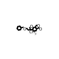 CC1(CCOCc2ccccc2)COc2c1ccc1c2COC1=O